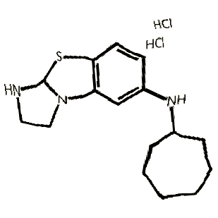 Cl.Cl.c1cc2c(cc1NC1CCCCCC1)N1CCNC1S2